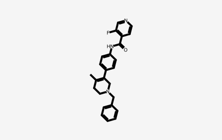 CC1=C(c2ccc(NC(=O)c3ccncc3F)cc2)CN(Cc2ccccc2)CC1